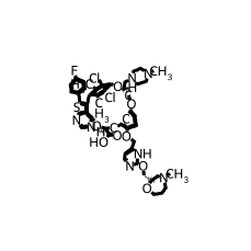 Cc1c(Cl)c2c(Cl)c(C)c1-c1c(-c3ccc(F)cc3)sc3ncnc(c13)O[C@@H](C(=O)O)Cc1cc(ccc1OCC1=CC=NC(OC[C@@H]3CN(C)CCCO3)N1)OC[C@@H](CN1CCN(C)CC1)O2